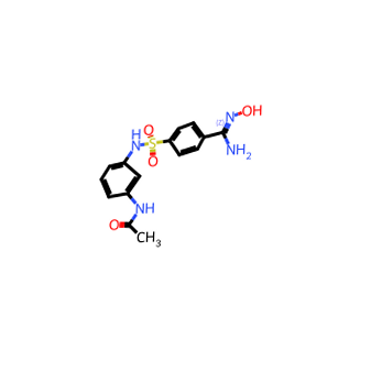 CC(=O)Nc1cccc(NS(=O)(=O)c2ccc(/C(N)=N/O)cc2)c1